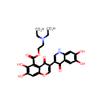 O=C(O)CN(CCOC(=O)c1c(O)c(O)cc2occ(-c3c[nH]c4cc(O)c(O)cc4c3=O)c(=O)c12)CC(=O)O